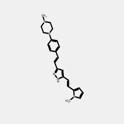 CN1CCN(c2ccc(C=Cc3cc(/C=C/c4cccn4C)[nH]n3)cc2)CC1